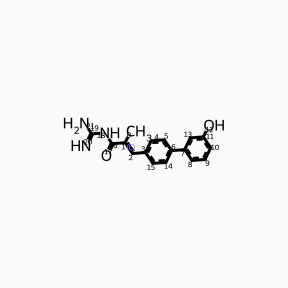 C/C(=C\c1ccc(-c2cccc(O)c2)cc1)C(=O)NC(=N)N